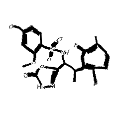 COc1cc(Cl)ccc1S(=O)(=O)NC(c1n[nH]c(=O)o1)C(C)c1c(F)ccc(C)c1F